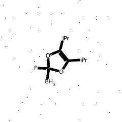 BC1(F)OC(C(C)C)=C(C(C)C)O1